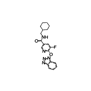 O=C(NCC1CCCCC1)c1cnc(On2nnc3ccccc32)c(F)c1